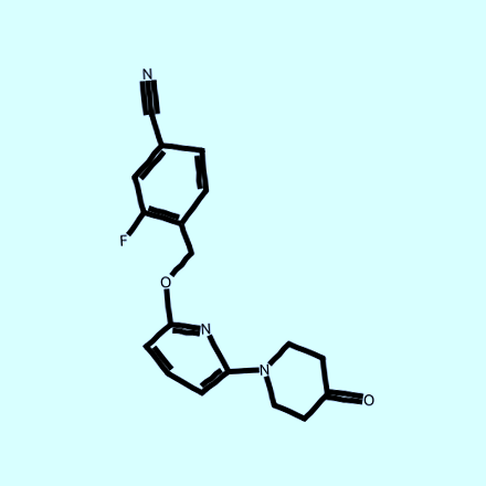 N#Cc1ccc(COc2cccc(N3CCC(=O)CC3)n2)c(F)c1